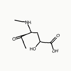 CNC(CC(O)C(=O)O)C(C)=O